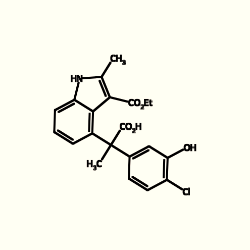 CCOC(=O)c1c(C)[nH]c2cccc(C(C)(C(=O)O)c3ccc(Cl)c(O)c3)c12